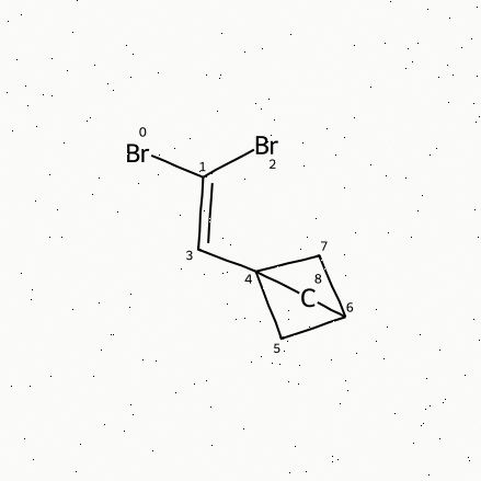 BrC(Br)=CC12CC(C1)C2